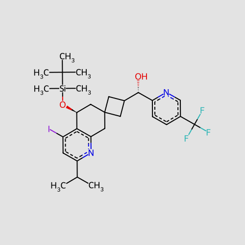 CC(C)c1cc(I)c2c(n1)CC1(CC([C@H](O)c3ccc(C(F)(F)F)cn3)C1)C[C@@H]2O[Si](C)(C)C(C)(C)C